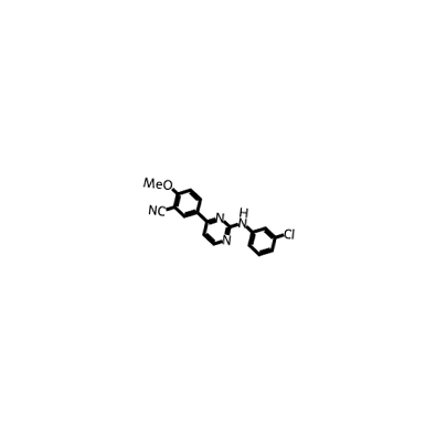 COc1ccc(-c2ccnc(Nc3cccc(Cl)c3)n2)cc1C#N